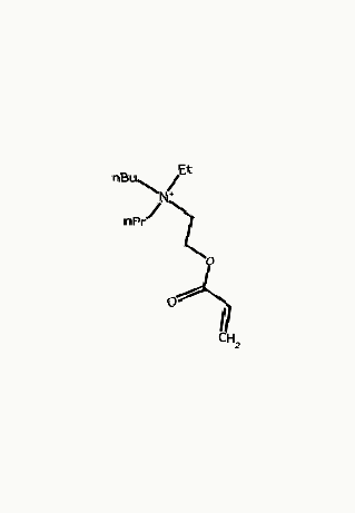 C=CC(=O)OCC[N+](CC)(CCC)CCCC